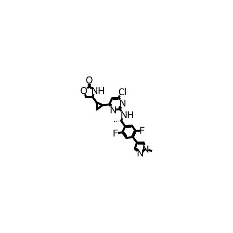 C[C@H](Nc1nc(Cl)cc(C2CC2C2COC(=O)N2)n1)c1cc(F)c(-c2cnn(C)c2)cc1F